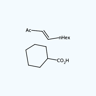 CCCCCCC=CC(C)=O.O=C(O)C1CCCCC1